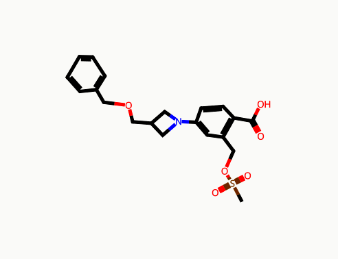 CS(=O)(=O)OCc1cc(N2CC(COCc3ccccc3)C2)ccc1C(=O)O